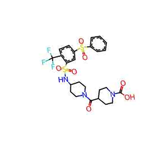 O=C(O)N1CCC(C(=O)N2CCC(NS(=O)(=O)c3cc(S(=O)(=O)c4ccccc4)ccc3C(F)(F)F)CC2)CC1